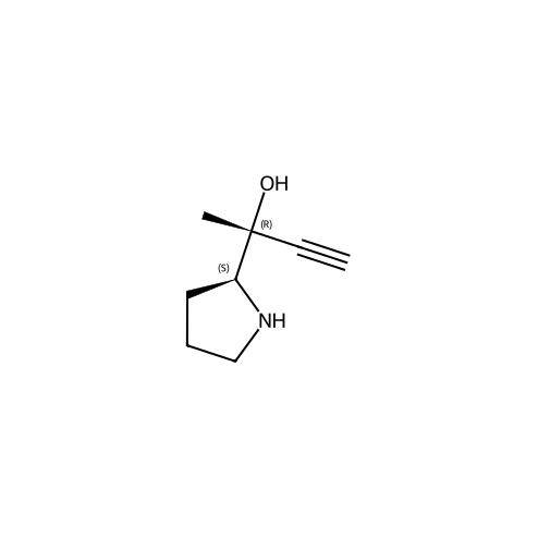 C#C[C@@](C)(O)[C@@H]1CCCN1